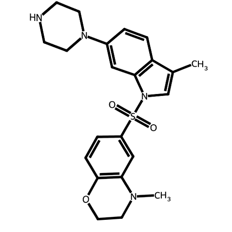 Cc1cn(S(=O)(=O)c2ccc3c(c2)N(C)CCO3)c2cc(N3CCNCC3)ccc12